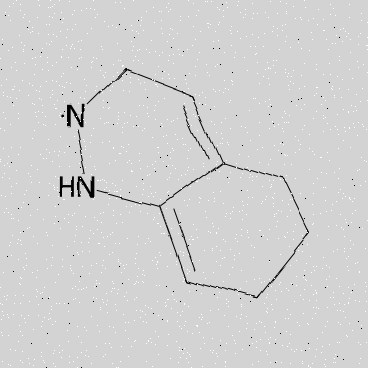 C1=C2CCCC=C2N[N]C1